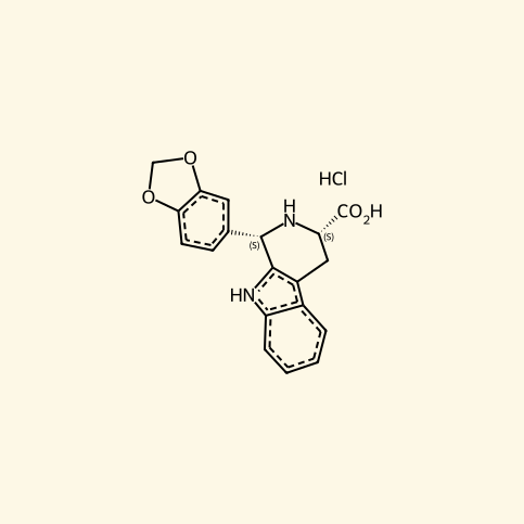 Cl.O=C(O)[C@@H]1Cc2c([nH]c3ccccc23)[C@H](c2ccc3c(c2)OCO3)N1